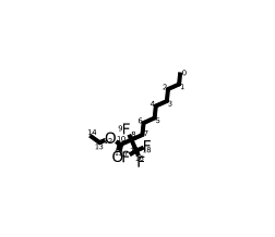 CCCCCCCCC(F)(C(=O)OCC)C(F)(F)F